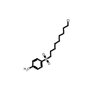 Cc1ccc(S(=O)(=O)CCCCCCCCCCl)cc1